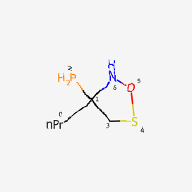 CCCC1(P)CSON1